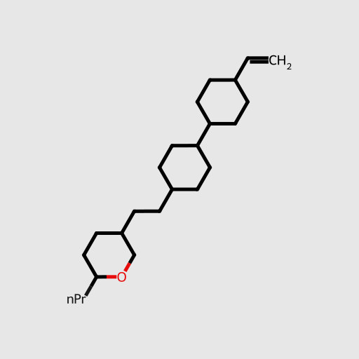 C=CC1CCC(C2CCC(CCC3CCC(CCC)OC3)CC2)CC1